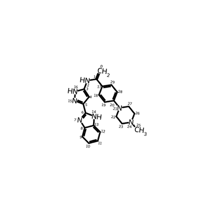 C=C(Nc1cc(-c2nc3ccccc3[nH]2)n[nH]1)c1ccc(N2CCN(C)CC2)cc1